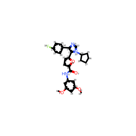 COc1cc(NC(=O)c2ccc(-c3c(-c4ccc(F)cc4)ncn3C3CCCC3)o2)cc(OC)c1